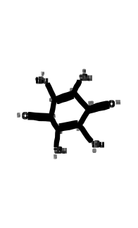 CC(C)(C)C1=C(C(C)(C)C)C(=O)C(C(C)(C)C)=C(C(C)(C)C)C1=O